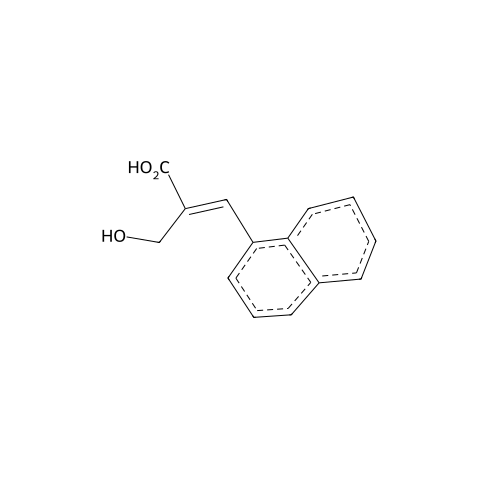 O=C(O)C(=Cc1cccc2ccccc12)CO